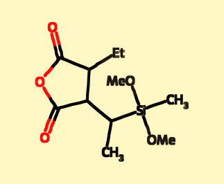 CCC1C(=O)OC(=O)C1C(C)[Si](C)(OC)OC